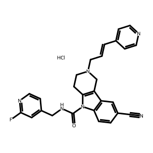 Cl.N#Cc1ccc2c(c1)c1c(n2C(=O)NCc2ccnc(F)c2)CCN(C/C=C/c2ccncc2)C1